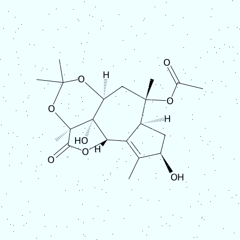 CC(=O)O[C@@]1(C)C[C@@H]2OC(C)(C)O[C@]3(C)C(=O)O[C@@H](C4=C(C)[C@H](O)C[C@@H]41)[C@]23O